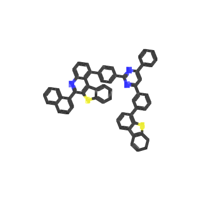 C1=Cc2c(sc3c(-c4cccc(-c5cc(-c6ccccc6)nc(-c6ccc(-c7cccc8nc(-c9cccc%10ccccc9%10)c9sc%10ccccc%10c9c78)cc6)n5)c4)cccc23)CC1